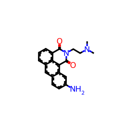 CN(C)CCN1C(=O)c2cccc3cc4ccc(N)cc4c(c23)C1=O